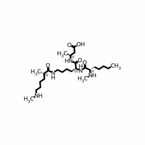 CCCCC[C@H](NC)C(=O)N[C@@H](CCCCNC(=O)[C@@H](C)CCCCNC)C(=O)N[C@@H](C)CC(=O)O